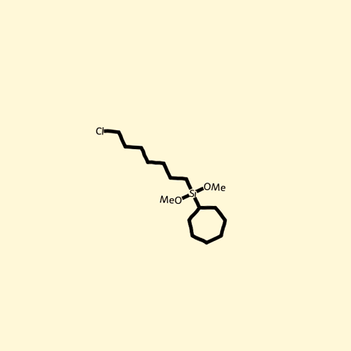 CO[Si](CCCCCCCCl)(OC)C1CCCCCC1